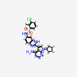 Cc1c(Cl)cccc1S(=O)(=O)Nc1ccc2nc(-c3cn(C4CCCC4)c4ncnc(N)c34)[nH]c2c1